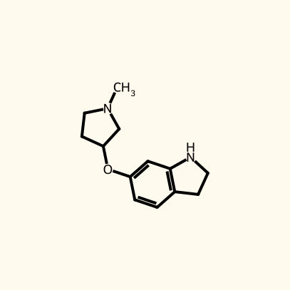 CN1CCC(Oc2ccc3c(c2)NCC3)C1